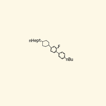 CCCCCCCC1CCC(c2ccc(-c3ccc(CCCC)cc3)c(F)c2)CC1